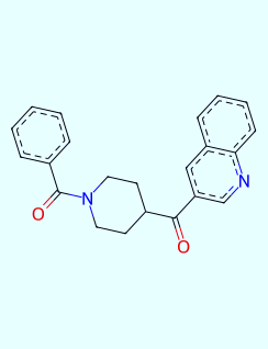 O=C(c1cnc2ccccc2c1)C1CCN(C(=O)c2ccccc2)CC1